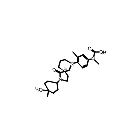 Cc1cc(N(C)C(=O)O)ccc1N1CCC[C@]2(CCN(C3CCC(C)(O)CC3)C2=O)C1